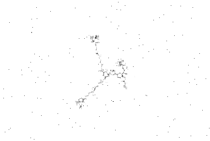 Cc1c(-c2cccc(S(=O)(=O)N(C)C)c2)c2cc(-c3cn(-c4cc(C(=O)NCCCCCNC(=O)CCCC[C@@H]5SC[C@@H]6NC(=O)N[C@@H]65)cc(C(=O)NCCCCCNC(=O)CCCC[C@@H]5SC[C@@H]6NC(=O)N[C@@H]65)c4)nn3)ccc2n1C/C(F)=C/CN